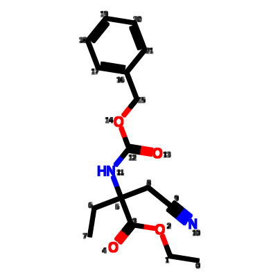 CCOC(=O)C(CC)(CC#N)NC(=O)OCc1ccccc1